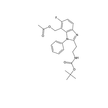 CC(=O)OCc1c(F)ccc2nc(CCNC(=O)OC(C)(C)C)n(-c3ccccc3)c12